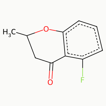 CC1CC(=O)c2c(F)cccc2O1